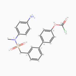 CN(c1ccc(N)cc1)S(=O)(=O)Cc1cccc(-c2ccc(OC(=O)Cl)cc2)c1